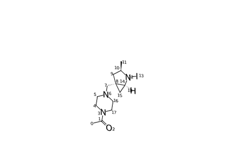 CC(=O)N1CCN(C[C@]23C[C@@H](C)N(I)[C@H]2C3)CC1